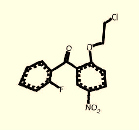 O=C(c1ccccc1F)c1cc([N+](=O)[O-])ccc1OCCCl